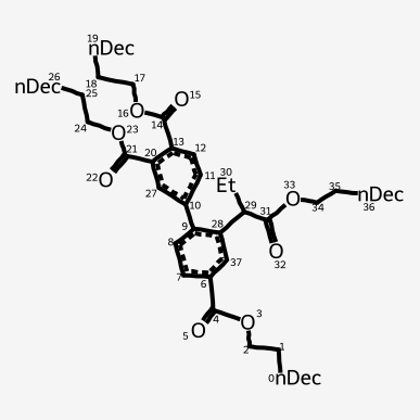 CCCCCCCCCCCCOC(=O)c1ccc(-c2ccc(C(=O)OCCCCCCCCCCCC)c(C(=O)OCCCCCCCCCCCC)c2)c(C(CC)C(=O)OCCCCCCCCCCCC)c1